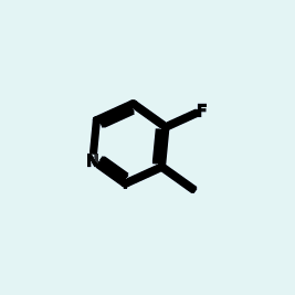 Cc1[c]nccc1F